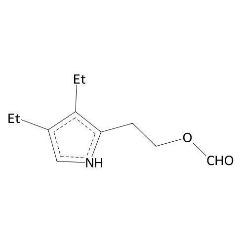 CCc1c[nH]c(CCOC=O)c1CC